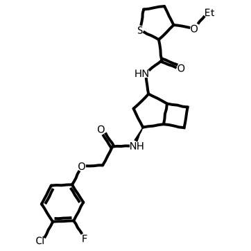 CCOC1CCSC1C(=O)NC1C[C@H](NC(=O)COc2ccc(Cl)c(F)c2)C2CCC12